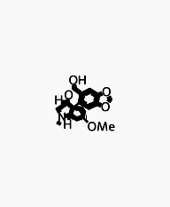 CO[C@@H]1C=C[C@@]23c4cc5c(cc4C(O)O[C@H]2CN(C)[C@H]3C1)OCO5